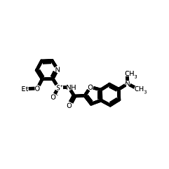 CCOc1cccnc1[S+]([O-])NC(=O)c1cc2ccc(N(C)C)cc2o1